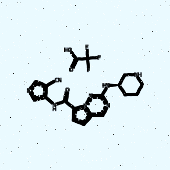 N#Cc1cscc1NC(=O)c1ccc2cnc(N[C@@H]3CCCNC3)nn12.O=C(O)C(F)(F)F